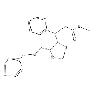 COC(=O)CC(c1ccccc1)C1OCOC1COCc1ccccc1